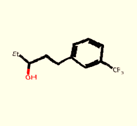 CCC(O)CCc1cccc(C(F)(F)F)c1